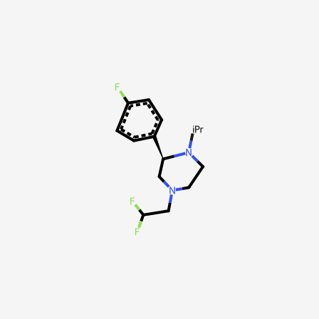 CC(C)N1CCN(CC(F)F)C[C@H]1c1ccc(F)cc1